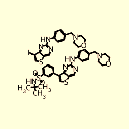 CC(C)(C)NS(=O)(=O)c1cccc(-c2csc3cnc(Nc4ccc(CN5CCOCC5)cc4)nc23)c1.Ic1csc2cnc(Nc3ccc(CN4CCOCC4)cc3)nc12